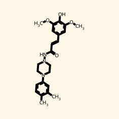 COc1cc(/C=C/C(=O)NN2CCN(c3ccc(C)c(C)c3)CC2)cc(OC)c1O